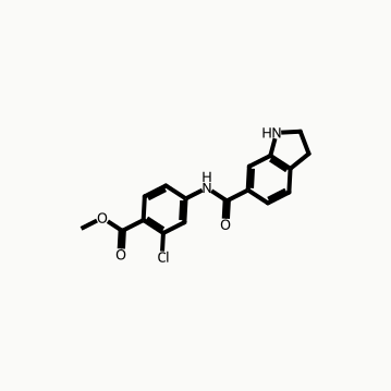 COC(=O)c1ccc(NC(=O)c2ccc3c(c2)NCC3)cc1Cl